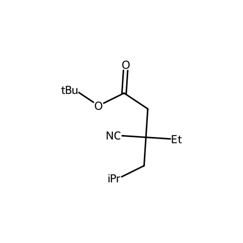 CCC(C#N)(CC(=O)OC(C)(C)C)CC(C)C